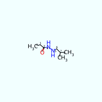 CCC(=O)NNCC(C)C